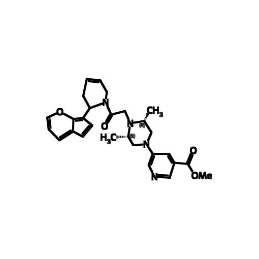 COC(=O)c1cncc(N2C[C@@H](C)N(CC(=O)N3CC=CCC3c3ccc4cccoc3-4)[C@@H](C)C2)c1